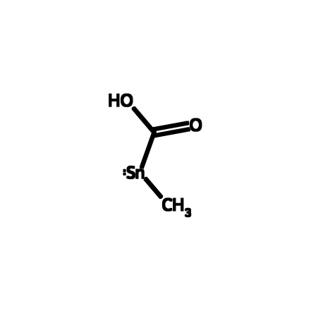 [CH3][Sn][C](=O)O